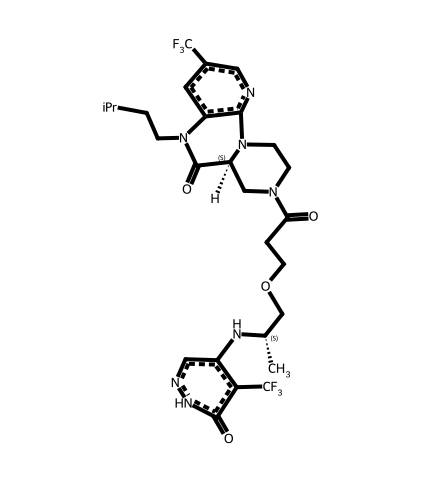 CC(C)CCN1C(=O)[C@@H]2CN(C(=O)CCOC[C@H](C)Nc3cn[nH]c(=O)c3C(F)(F)F)CCN2c2ncc(C(F)(F)F)cc21